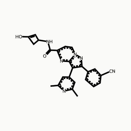 Cc1cc(-c2c(-c3cccc(C#N)c3)nn3ccc(C(=O)NC4C=C(O)C4)nc23)cc(C)n1